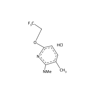 CNc1nc(OCC(F)(F)F)ccc1C.Cl